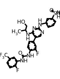 CC(CO)Nc1nc(Nc2cccc([SH](=N)=O)c2)ncc1-c1ccc(NC(=O)Nc2cc(C(F)(F)F)ccc2F)c(F)c1